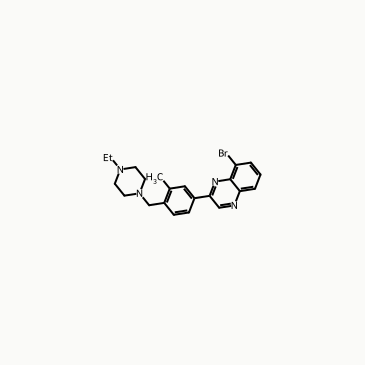 CCN1CCN(Cc2ccc(-c3cnc4cccc(Br)c4n3)cc2C)CC1